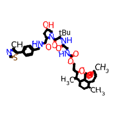 Cc1ncsc1-c1ccc(CNC(=O)C2CC(O)CN2C(=O)C(NC(=O)CNC(=O)OCCC2OC3OC4(C)CCC5C(C)CCC(C2C)C35OO4)C(C)(C)C)cc1